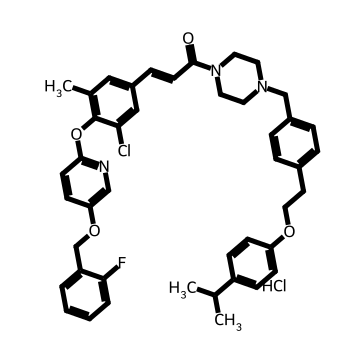 Cc1cc(C=CC(=O)N2CCN(Cc3ccc(CCOc4ccc(C(C)C)cc4)cc3)CC2)cc(Cl)c1Oc1ccc(OCc2ccccc2F)cn1.Cl